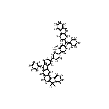 CC1(C)c2cc(-c3ccc4c(c3)c3cc5c6c(ccc5cc3n4-c3ccccc3)C(C)(C)c3ccccc3-6)ccc2-c2ccc(N(c3ccccc3)c3ccc4c(c3)sc3ccccc34)cc21